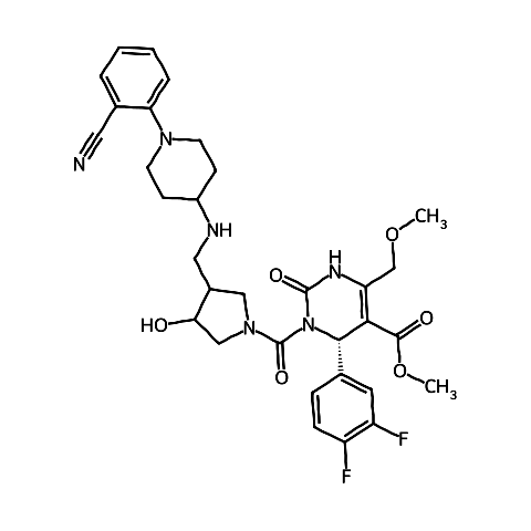 COCC1=C(C(=O)OC)[C@H](c2ccc(F)c(F)c2)N(C(=O)N2CC(O)C(CNC3CCN(c4ccccc4C#N)CC3)C2)C(=O)N1